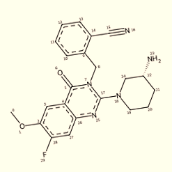 COc1cc2c(=O)n(Cc3ccccc3C#N)c(N3CCC[C@@H](N)C3)nc2cc1F